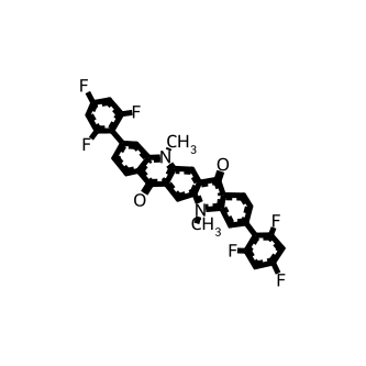 Cn1c2cc(-c3c(F)cc(F)cc3F)ccc2c(=O)c2cc3c(cc21)c(=O)c1ccc(-c2c(F)cc(F)cc2F)cc1n3C